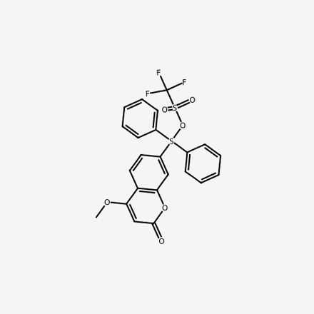 COc1cc(=O)oc2cc(S(OS(=O)(=O)C(F)(F)F)(c3ccccc3)c3ccccc3)ccc12